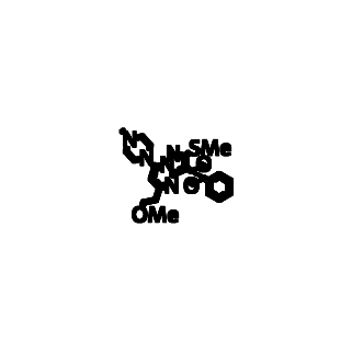 COCCc1cc(N2CCN(C)CC2)n2nc(SC)c(S(=O)(=O)c3ccccc3)c2n1